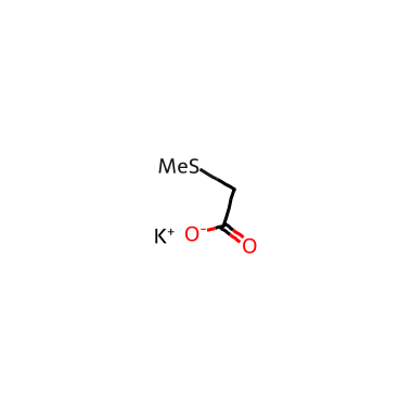 CSCC(=O)[O-].[K+]